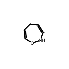 [C]1=CCC=CON1